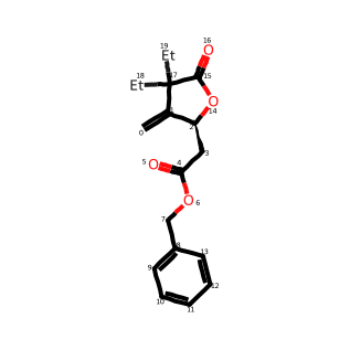 C=C1[C@H](CC(=O)OCc2ccccc2)OC(=O)C1(CC)CC